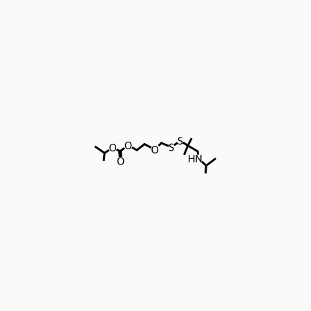 CC(C)NCC(C)(C)SSCOCCOC(=O)OC(C)C